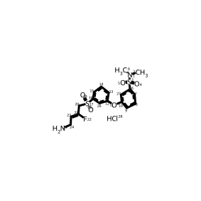 CN(C)S(=O)(=O)c1cccc(Oc2cccc(S(=O)(=O)CC(F)=CCN)c2)c1.Cl